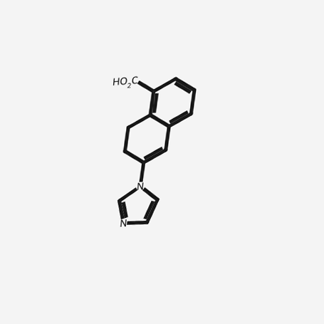 O=C(O)c1cccc2c1CCC(n1ccnc1)=C2